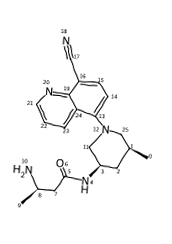 C[C@H]1C[C@@H](NC(=O)C[C@@H](C)N)CN(c2ccc(C#N)c3ncccc23)C1